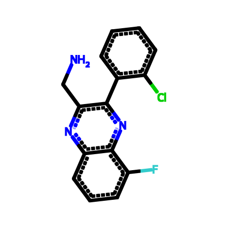 NCc1nc2cccc(F)c2nc1-c1ccccc1Cl